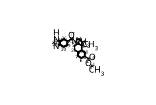 CCOC(=O)c1ccc2c(c1)[C@]1(C)CCN(C(=O)c3ccc4nc[nH]c4c3)C(C2)C1C